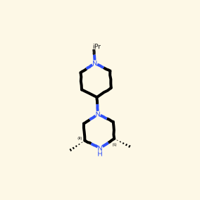 CC(C)N1CCC(N2C[C@@H](C)N[C@@H](C)C2)CC1